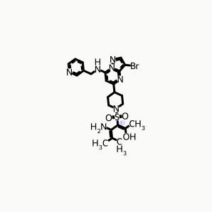 CC(C)=C(N)/C(=C(/C)O)S(=O)(=O)N1CCC(c2cc(NCc3cccnc3)n3ncc(Br)c3n2)CC1